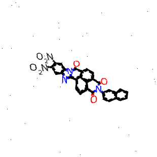 O=C1c2ccc3c(=O)n4c5cc([N+](=O)[O-])c([N+](=O)[O-])cc5nc4c4ccc(c2c34)C(=O)N1c1ccc2ccccc2c1